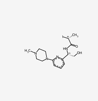 C[C@@H](I)C(=O)N[C@H](CO)c1cccc(N2CCN(C)CC2)n1